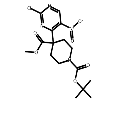 COC(=O)C1(c2nc(Cl)ncc2[N+](=O)[O-])CCN(C(=O)OC(C)(C)C)CC1